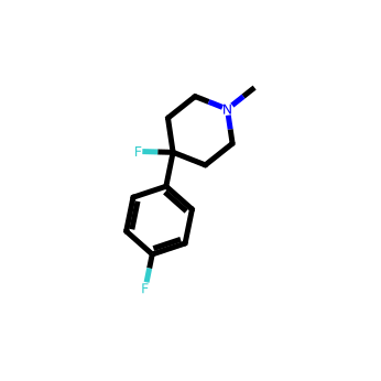 CN1CCC(F)(c2ccc(F)cc2)CC1